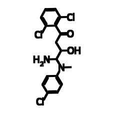 CN(c1ccc(Cl)cc1)C(N)C(O)CC(=O)c1c(Cl)cccc1Cl